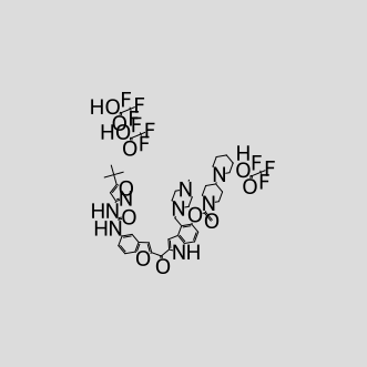 CN1CCN(Cc2c(OC(=O)N3CCC(N4CCCCC4)CC3)ccc3[nH]c(C(=O)c4cc5cc(NC(=O)Nc6cc(C(C)(C)C)on6)ccc5o4)cc23)CC1.O=C(O)C(F)(F)F.O=C(O)C(F)(F)F.O=C(O)C(F)(F)F